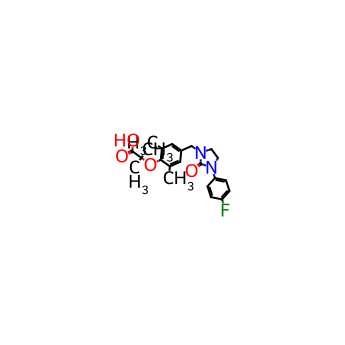 Cc1cc(CN2CCN(c3ccc(F)cc3)C2=O)cc(C)c1OC(C)(C)C(=O)O